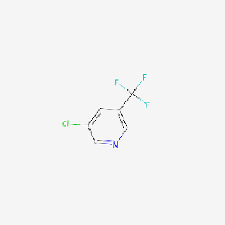 FC(F)(F)c1cncc(Cl)c1